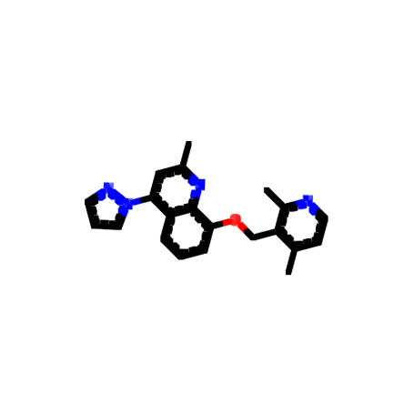 Cc1cc(-n2cccn2)c2cccc(OCc3c(C)ccnc3C)c2n1